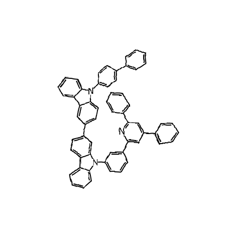 c1ccc(-c2ccc(-n3c4ccccc4c4cc(-c5ccc6c7ccccc7n(-c7cccc(-c8cc(-c9ccccc9)cc(-c9ccccc9)n8)c7)c6c5)ccc43)cc2)cc1